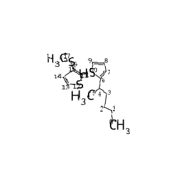 CCCCC(C)C1=CC=C[SH]1c1sccc1SC